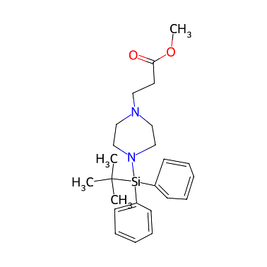 COC(=O)CCN1CCN([Si](c2ccccc2)(c2ccccc2)C(C)(C)C)CC1